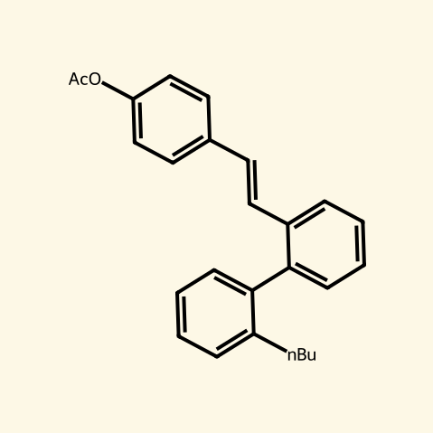 CCCCc1ccccc1-c1ccccc1C=Cc1ccc(OC(C)=O)cc1